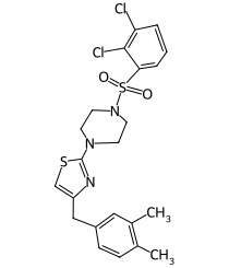 Cc1ccc(Cc2csc(N3CCN(S(=O)(=O)c4cccc(Cl)c4Cl)CC3)n2)cc1C